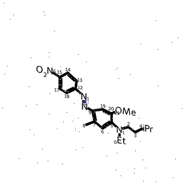 CCN(CCC(C)C)c1cc(C)c(/N=N/c2ccc([N+](=O)[O-])cc2)cc1OC